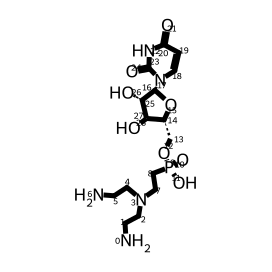 NCCN(CCN)CCP(=O)(O)OC[C@H]1O[C@@H](n2ccc(=O)[nH]c2=O)[C@@H](O)C1O